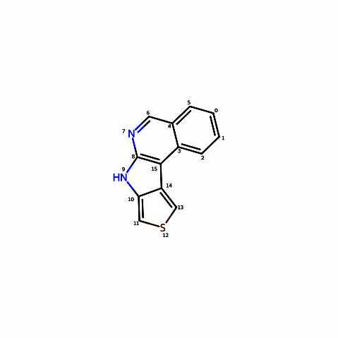 c1ccc2c(c1)cnc1[nH]c3cscc3c12